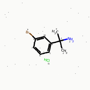 CC(C)(N)c1cccc(Br)c1.Cl